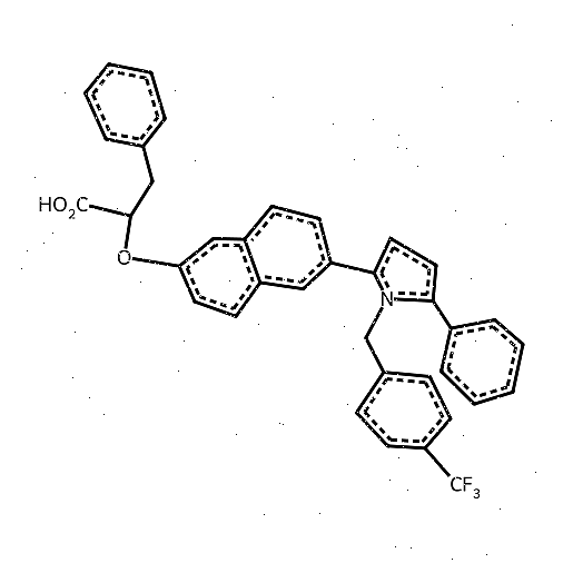 O=C(O)C(Cc1ccccc1)Oc1ccc2cc(-c3ccc(-c4ccccc4)n3Cc3ccc(C(F)(F)F)cc3)ccc2c1